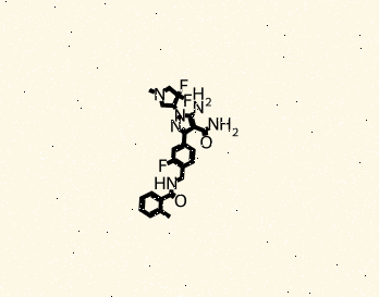 Cc1ccccc1C(=O)NCc1ccc(-c2nn(C3CN(C)CC3(F)F)c(N)c2C(N)=O)cc1F